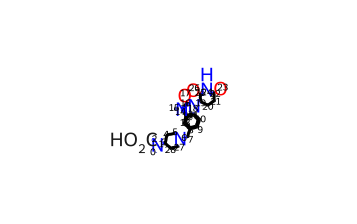 CN(C(=O)O)C1CCN(Cc2ccc3c(c2)n(C)c(=O)n3C2CCC(=O)NC2=O)CC1